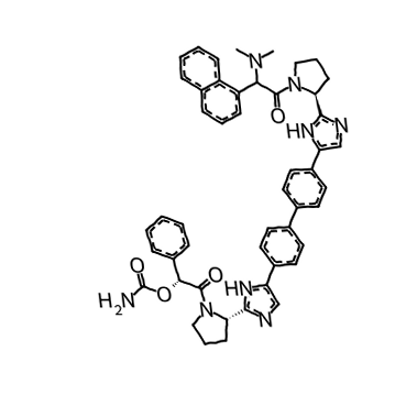 CN(C)C(C(=O)N1CCC[C@H]1c1ncc(-c2ccc(-c3ccc(-c4cnc([C@@H]5CCCN5C(=O)[C@H](OC(N)=O)c5ccccc5)[nH]4)cc3)cc2)[nH]1)c1cccc2ccccc12